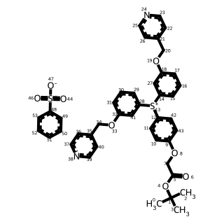 CC(C)(C)OC(=O)COc1ccc([S+](c2cccc(OCc3ccncc3)c2)c2cccc(OCc3ccncc3)c2)cc1.O=S(=O)([O-])c1ccccc1